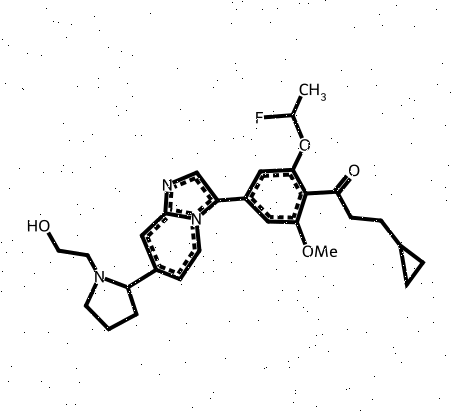 COc1cc(-c2cnc3cc(C4CCCN4CCO)ccn23)cc(OC(C)F)c1C(=O)CCC1CC1